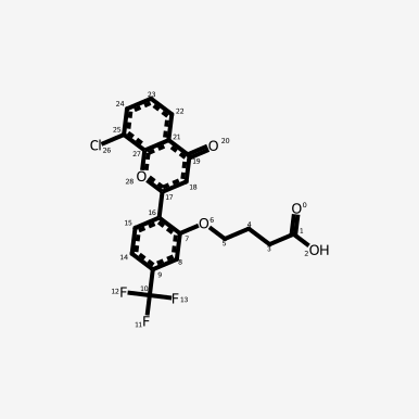 O=C(O)CCCOc1cc(C(F)(F)F)ccc1-c1cc(=O)c2cccc(Cl)c2o1